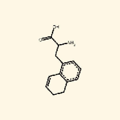 NC(Cc1cccc2c1C=CCC2)C(=O)O